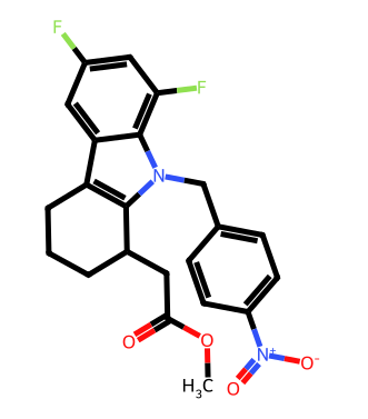 COC(=O)CC1CCCc2c1n(Cc1ccc([N+](=O)[O-])cc1)c1c(F)cc(F)cc21